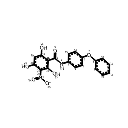 O=C(Nc1ccc(Oc2ccccc2)cc1)c1c(O)cc(O)c([N+](=O)[O-])c1O